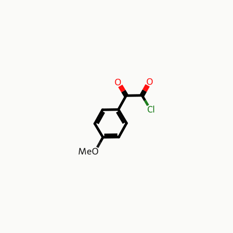 COc1ccc(C(=O)C(=O)Cl)cc1